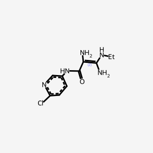 CCN/C(N)=C(\N)C(=O)Nc1ccc(Cl)nc1